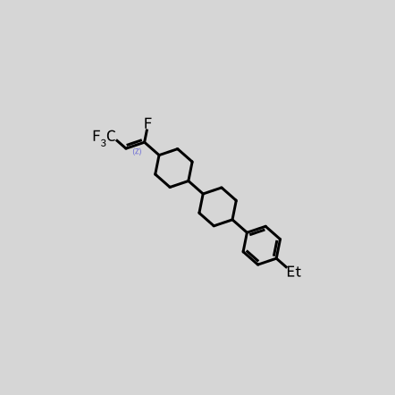 CCc1ccc(C2CCC(C3CCC(/C(F)=C/C(F)(F)F)CC3)CC2)cc1